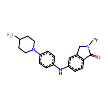 CC(C)N1Cc2cc(Nc3ccc(N4CCC(C(F)(F)F)CC4)cc3)ccc2C1=O